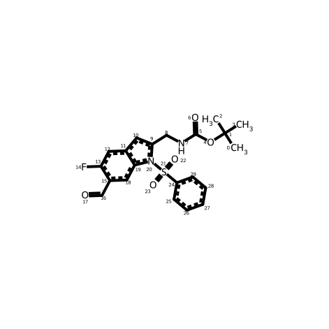 CC(C)(C)OC(=O)NCc1cc2cc(F)c(C=O)cc2n1S(=O)(=O)c1ccccc1